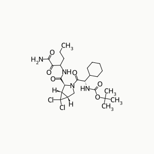 CCCC(NC(=O)[C@@H]1[C@@H]2[C@H](CN1C(=O)[C@@H](NC(=O)OC(C)(C)C)C1CCCCC1)C2(Cl)Cl)C(=O)C(N)=O